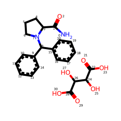 NC(=O)C1CCCN1C(c1ccccc1)c1ccccc1.O=C(O)C(O)C(O)C(=O)O